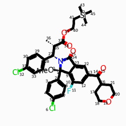 CO[C@]1(c2ccc(Cl)cc2)c2c(F)cc(C(=O)C3CCOCC3)cc2C(=O)N1[C@H](c1ccc(Cl)cc1)[C@H](C)C(=O)OCC[Si](C)(C)C